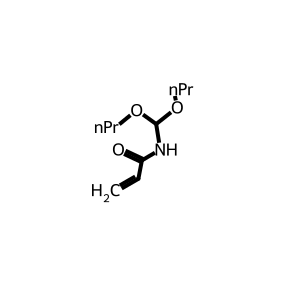 C=CC(=O)NC(OCCC)OCCC